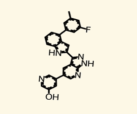 Cc1cc(F)cc(-c2cccc3[nH]c(-c4n[nH]c5ncc(-c6cncc(O)c6)cc45)cc23)c1